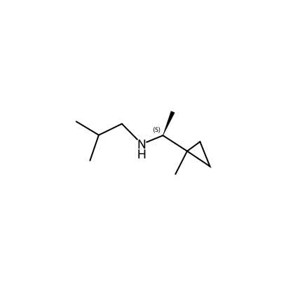 CC(C)CN[C@@H](C)C1(C)CC1